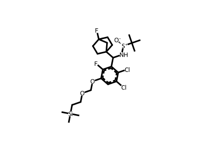 CC(C)(C)[S@@+]([O-])NC(c1c(F)c(OCOCC[Si](C)(C)C)cc(Cl)c1Cl)C12CCC(F)(CC1)C2